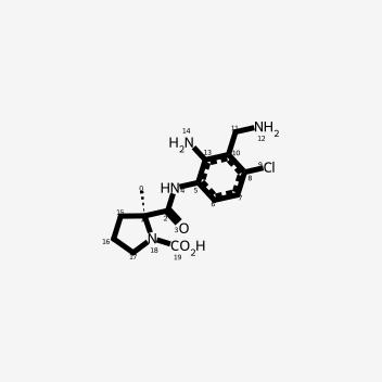 C[C@@]1(C(=O)Nc2ccc(Cl)c(CN)c2N)CCCN1C(=O)O